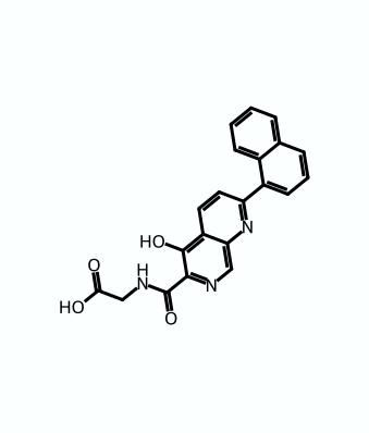 O=C(O)CNC(=O)c1ncc2nc(-c3cccc4ccccc34)ccc2c1O